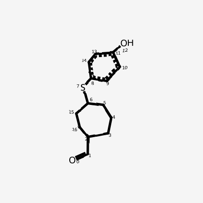 O=CC1CCCC(Sc2ccc(O)cc2)CC1